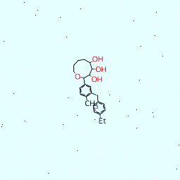 CCc1ccc(Cc2cc(C3OCCCCC(O)C(O)C3O)ccc2C)cc1